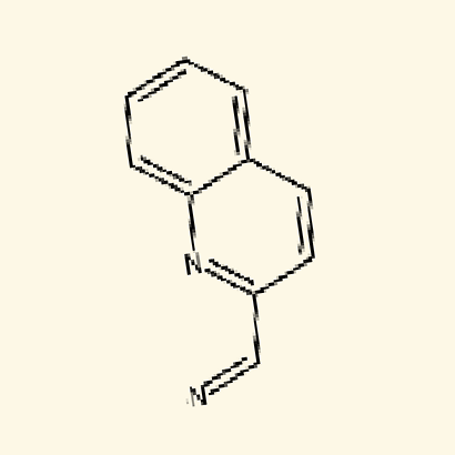 [N]=Cc1ccc2ccccc2n1